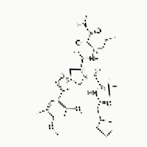 CCC[C@H](NC(=O)[C@@H]1C[C@]2(CC(c3cc(C)c(OC)cc3OC)=NO2)CN1C(=O)[C@@H](NC(=O)CC1CCCC1)C(C)(C)C)C(=O)C(=O)NC